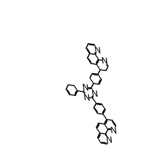 C1=CCCC(c2nc(-c3ccc(-c4ccnc5c4ccc4cccnc45)cc3)nc(C3C=CC(C4CC=Nc5c4ccc4cccnc54)=CC3)n2)=C1